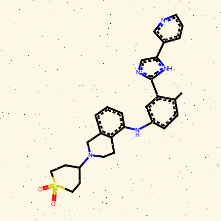 Cc1ccc(Nc2cccc3c2CCN(C2CCS(=O)(=O)CC2)C3)cc1-c1ncc(-c2cccnc2)[nH]1